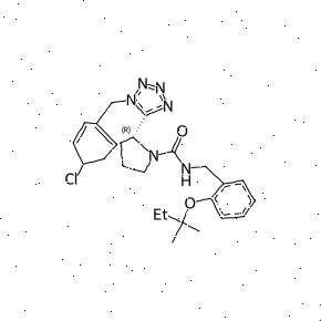 CCC(C)(C)Oc1ccccc1CNC(=O)N1CCC[C@@H]1c1nnnn1CC1=CCC(Cl)C=C1